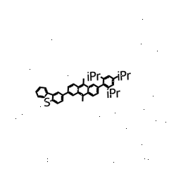 Cc1c2ccc(-c3c(C(C)C)cc(C(C)C)cc3C(C)C)cc2c(C)c2ccc(-c3ccc4sc5ccccc5c4c3)cc12